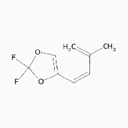 C=C(C)/C=C\C1=COC(F)(F)O1